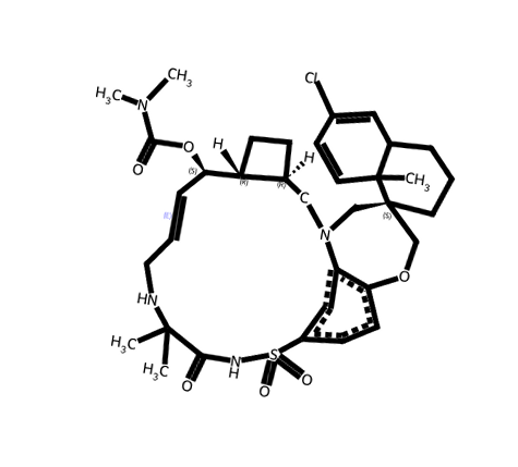 CN(C)C(=O)O[C@@H]1/C=C/CNC(C)(C)C(=O)NS(=O)(=O)c2ccc3c(c2)N(C[C@@H]2CC[C@H]21)C[C@@]1(CCCC2C=C(Cl)C=CC21C)CO3